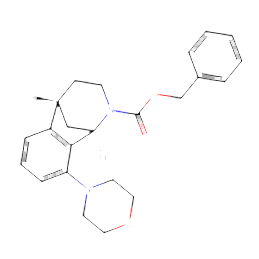 O=C(OCc1ccccc1)N1CC[C@@H]2C[C@@H]1c1c2cccc1N1CCOCC1